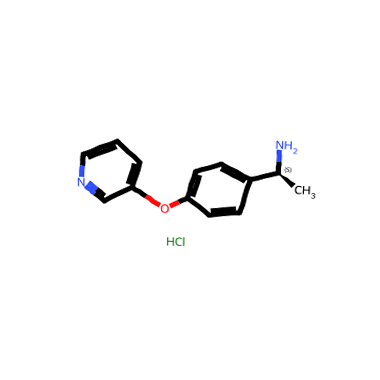 C[C@H](N)c1ccc(Oc2cccnc2)cc1.Cl